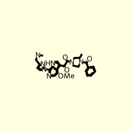 COc1cnc(-n2ccc(CN(C)C)n2)c2[nH]cc(C(=O)C(=O)N3CCN(C(=O)c4ccccc4)C(C)C3)c12